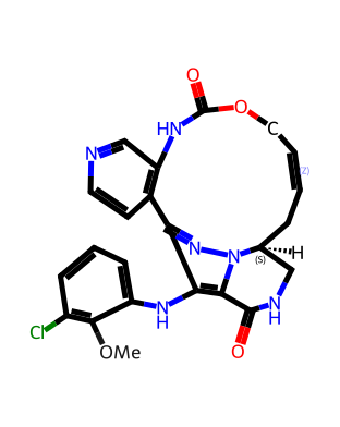 COc1c(Cl)cccc1Nc1c2nn3c1C(=O)NC[C@@H]3C/C=C\COC(=O)Nc1cnccc1-2